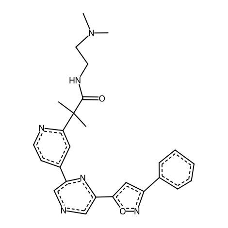 CN(C)CCNC(=O)C(C)(C)c1cc(-c2cncc(-c3cc(-c4ccccc4)no3)n2)ccn1